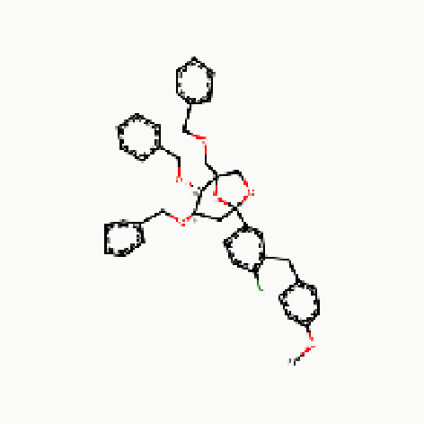 CCOc1ccc(Cc2cc(C34C[C@@H](OCc5ccccc5)[C@H](OCc5ccccc5)C(COCc5ccccc5)(CO3)O4)ccc2Cl)cc1